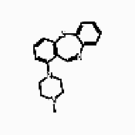 CN1CCN(c2cccc3c2C=Nc2ccccc2S3)CC1